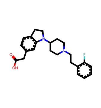 O=C(O)Cc1ccc2c(c1)N(C1CCN(CCc3ccccc3F)CC1)CC2